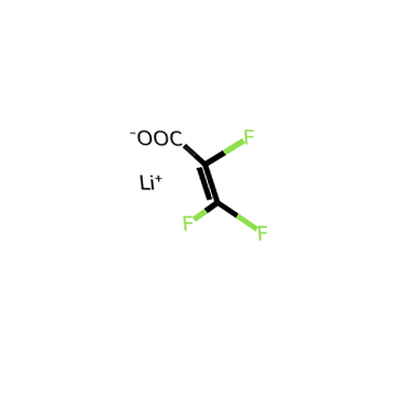 O=C([O-])C(F)=C(F)F.[Li+]